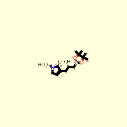 CC1(C)OB(CCCC2=CCN(C(=O)O)[C@@H]2C(=O)O)OC1(C)C